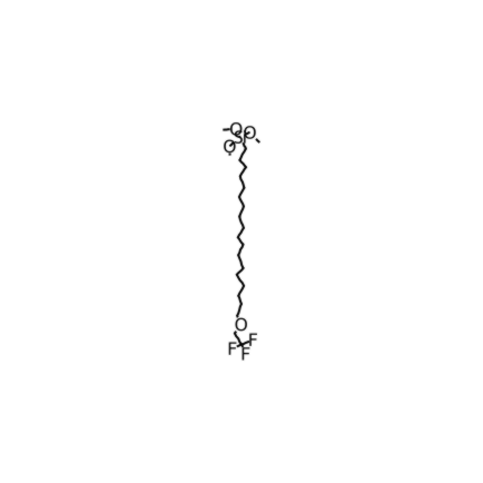 CO[Si](CCCCCCCCCCCCCCCCCCOCC(F)(F)F)(OC)OC